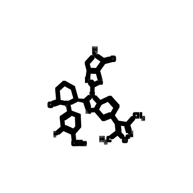 COc1ccc(N2C(=O)CCC[C@H]2C2=NC3C=C(c4c(C)noc4C)C=CC3N2c2nc3c(s2)C(=O)NC3)cc1F